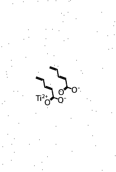 C=CC=CC(=O)[O-].C=CC=CC(=O)[O-].[Ti+2]